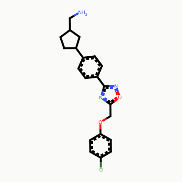 NCC1CCC(c2ccc(-c3noc(COc4ccc(Cl)cc4)n3)cc2)C1